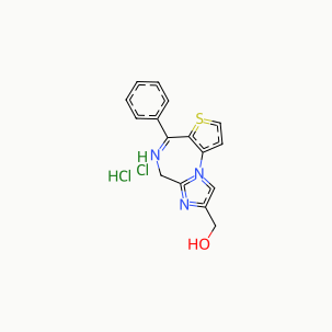 Cl.Cl.OCc1cn2c(n1)CN=C(c1ccccc1)c1sccc1-2